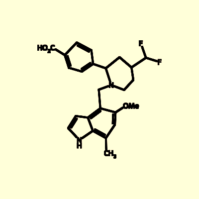 COc1cc(C)c2[nH]ccc2c1CN1CCC(C(F)F)CC1c1ccc(C(=O)O)cc1